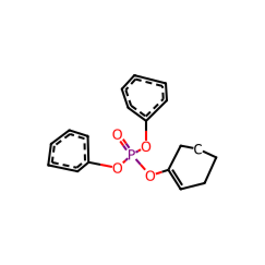 O=P(OC1=CCCCC1)(Oc1ccccc1)Oc1ccccc1